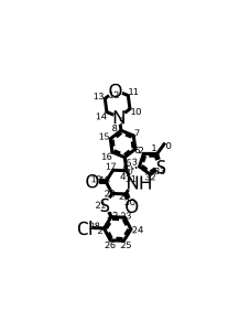 Cc1cc([C@@]2(c3ccc(N4CCOCC4)cc3)CC(=O)C(Sc3ccccc3Cl)C(=O)N2)cs1